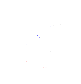 O=C(O)c1cc2cccnc2n2c1nc1ccccc12